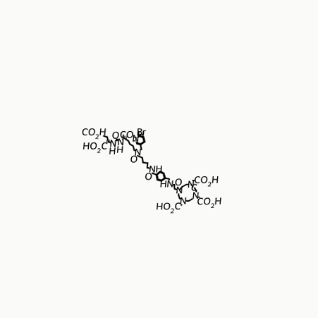 O=C(O)CC[C@@H](NC(=O)N[C@H](CCCCN(Cc1ccc(Br)nc1)C(=O)CCCCNC(=O)c1ccc(CNC(=O)CN2CCN(CC(=O)O)CCN(CC(=O)O)CCN(CC(=O)O)CC2)cc1)C(=O)O)C(=O)O